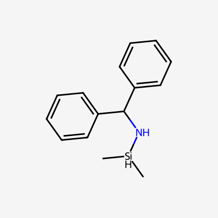 C[SiH](C)NC(c1ccccc1)c1ccccc1